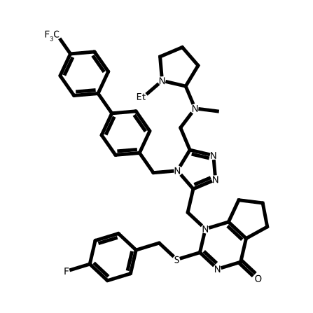 CCN1CCCC1N(C)Cc1nnc(Cn2c(SCc3ccc(F)cc3)nc(=O)c3c2CCC3)n1Cc1ccc(-c2ccc(C(F)(F)F)cc2)cc1